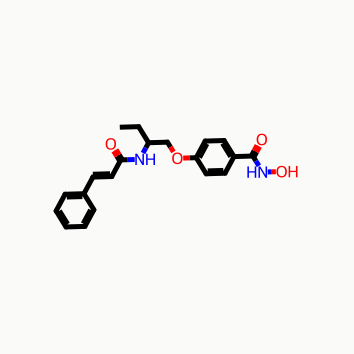 CCC(COc1ccc(C(=O)NO)cc1)NC(=O)/C=C/c1ccccc1